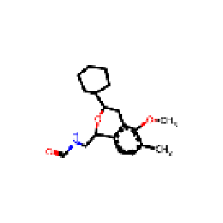 COc1c(C)ccc2c1CC(C1CCCCC1)OC2CNC=O